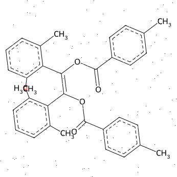 Cc1ccc(C(=O)OC(=C(OC(=O)c2ccc(C)cc2)c2c(C)cccc2C)c2c(C)cccc2C)cc1